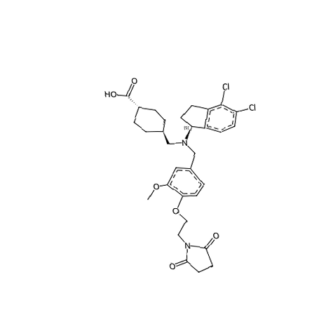 COc1cc(CN(C[C@H]2CC[C@H](C(=O)O)CC2)[C@H]2CCc3c2ccc(Cl)c3Cl)ccc1OCCN1C(=O)CCC1=O